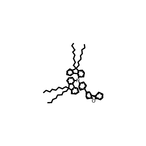 CCCCCCCCC1(CCCCCCCC)c2ccccc2-c2c(N(c3ccc(-c4ccc5oc6ccccc6c5c4)cc3)c3cccc4c3-c3ccccc3C4(CCCCCCCC)CCCCCCCC)cccc21